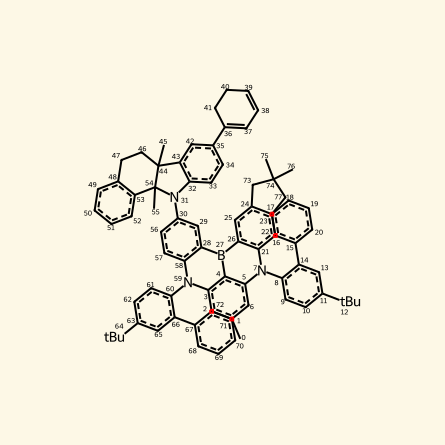 Cc1cc2c3c(c1)N(c1ccc(C(C)(C)C)cc1-c1ccccc1)c1cc4c(cc1B3c1cc(N3c5ccc(C6=CC=CCC6)cc5C5(C)CCc6ccccc6C35C)ccc1N2c1ccc(C(C)(C)C)cc1-c1ccccc1)CC(C)(C)C4